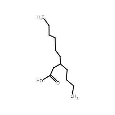 CCCCCCC(CCCC)CC(=O)O